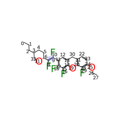 CCCC1CCC(/C(F)=C(\F)c2cc3c(c(F)c2F)Oc2c(ccc(OCC)c2F)C3)OC1